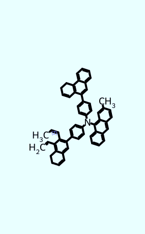 C=Cc1c(/C=C\C)c(-c2ccc(N(c3ccc(-c4cc5ccccc5c5c4C=CCC5)cc3)c3c4ccccc4cc4ccc(C)cc34)cc2)cc2c1CCC=C2